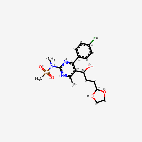 CC(C)c1nc(N(C)S(C)(=O)=O)nc(-c2ccc(F)cc2)c1C(O)CCC1OCCO1